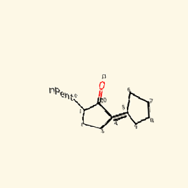 CCCCCC1CCC(=C2CCCC2)C1=O